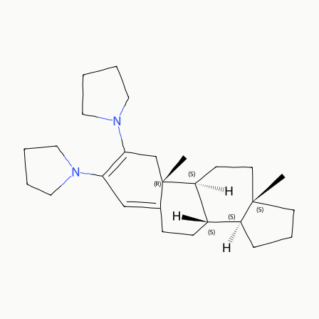 C[C@@]12CCC[C@H]1[C@@H]1CCC3=CC(N4CCCC4)=C(N4CCCC4)C[C@]3(C)[C@H]1CC2